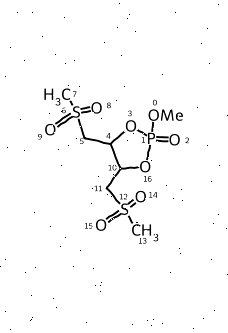 COP1(=O)OC(CS(C)(=O)=O)C(CS(C)(=O)=O)O1